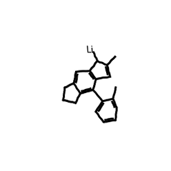 [Li][CH]1C(C)=Cc2c1cc1c(c2-c2ccccc2C)CCC1